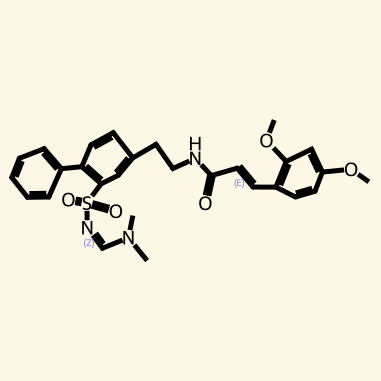 COc1ccc(/C=C/C(=O)NCCc2ccc(-c3ccccc3)c(S(=O)(=O)/N=C\N(C)C)c2)c(OC)c1